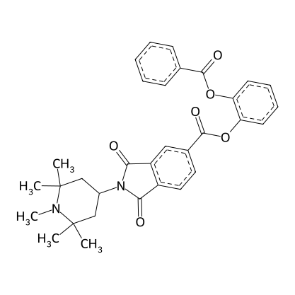 CN1C(C)(C)CC(N2C(=O)c3ccc(C(=O)Oc4ccccc4OC(=O)c4ccccc4)cc3C2=O)CC1(C)C